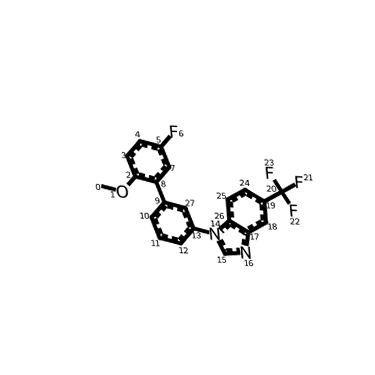 COc1ccc(F)cc1-c1cccc(-n2cnc3cc(C(F)(F)F)ccc32)c1